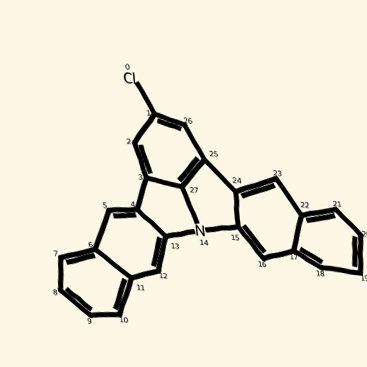 Clc1cc2c3cc4ccccc4cc3n3c4cc5ccccc5cc4c(c1)c23